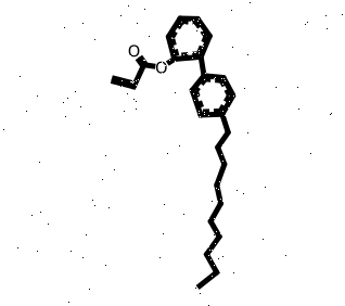 C=CC(=O)Oc1ccccc1-c1ccc(CCCCCCCCCC)cc1